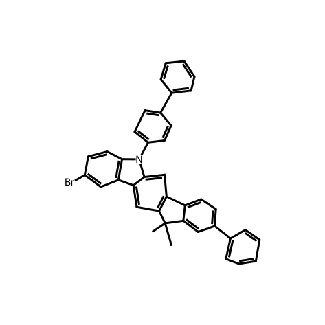 CC1(C)c2cc(-c3ccccc3)ccc2-c2cc3c(cc21)c1cc(Br)ccc1n3-c1ccc(-c2ccccc2)cc1